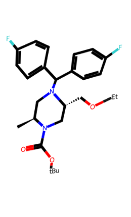 CCOC[C@@H]1CN(C(=O)OC(C)(C)C)[C@@H](C)CN1C(c1ccc(F)cc1)c1ccc(F)cc1